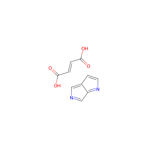 C1=CC2=CN=CC2=N1.O=C(O)C=CC(=O)O